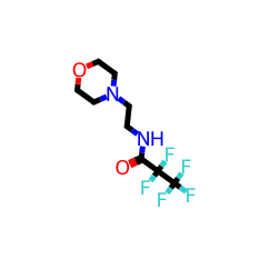 O=C(NCCN1CCOCC1)C(F)(F)C(F)(F)F